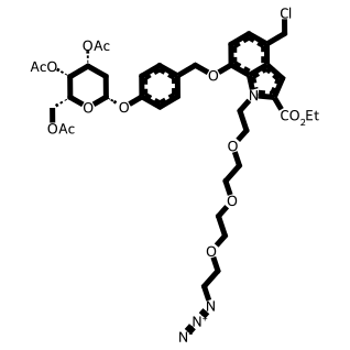 CCOC(=O)c1cc2c(CCl)ccc(OCc3ccc(O[C@H]4C[C@@H](OC(C)=O)[C@@H](OC(C)=O)[C@@H](COC(C)=O)O4)cc3)c2n1CCOCCOCCOCCN=[N+]=[N-]